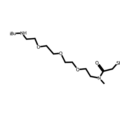 CCC(C)NCCOCCOCCOCCN(C)C(=O)CS